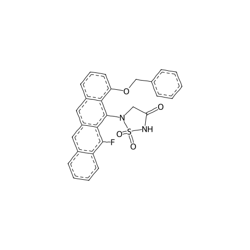 O=C1CN(c2c3c(OCc4ccccc4)cccc3cc3cc4ccccc4c(F)c23)S(=O)(=O)N1